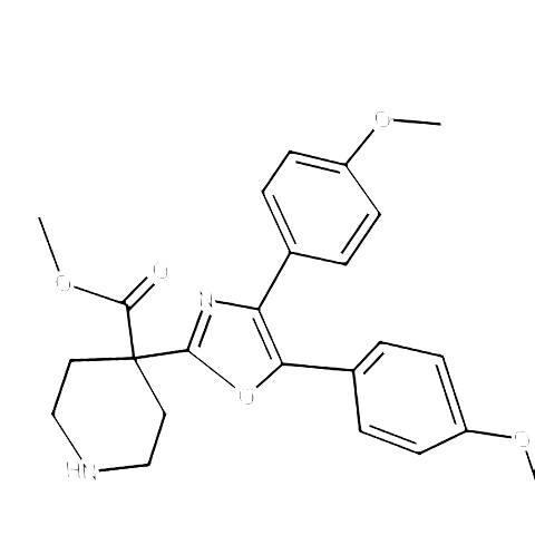 COC(=O)C1(c2nc(-c3ccc(OC)cc3)c(-c3ccc(OC)cc3)o2)CCNCC1